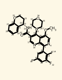 COc1cnc(-c2cc(F)cc(F)c2F)c2ncc(C(=O)N[C@H]3CCOc4ccccc43)c(N3CCOCC3)c12